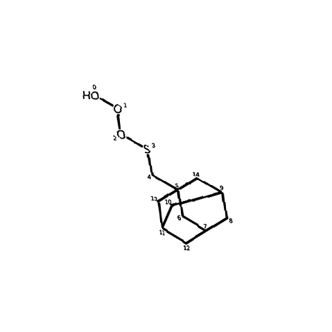 OOOSCC12CC3CC(CC(C3)C1)C2